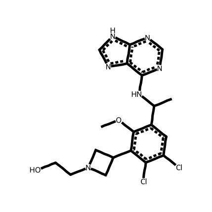 COc1c(C(C)Nc2ncnc3[nH]cnc23)cc(Cl)c(Cl)c1C1CN(CCO)C1